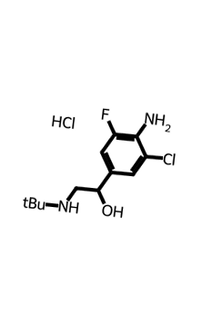 CC(C)(C)NCC(O)c1cc(F)c(N)c(Cl)c1.Cl